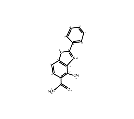 NC(=O)c1ccc2oc(-c3ccccc3)nc2c1O